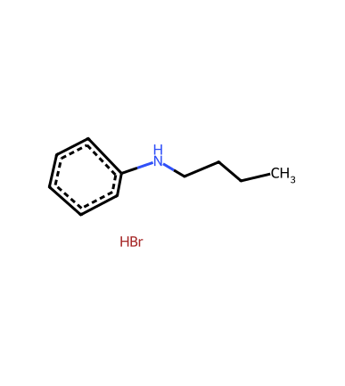 Br.CCCCNc1ccccc1